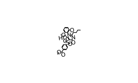 CCCCc1nc(=O)c(S(=O)(=O)c2ccc(C(=O)OC)cc2)c(O)n1-c1c(OC)cccc1OC